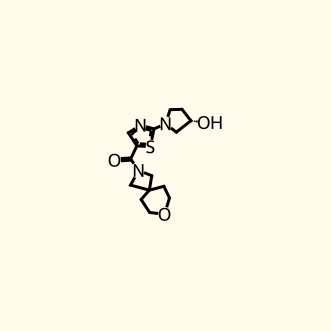 O=C(c1cnc(N2CC[C@H](O)C2)s1)N1CC2(CCOCC2)C1